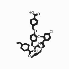 CC#CCn1cc(-c2ccc(Cl)cc2Cl)nc1[C@H](Cc1ccc(OCc2ccc(C(=O)O)cc2)cc1)NC(=O)C1CCC(CC)CC1